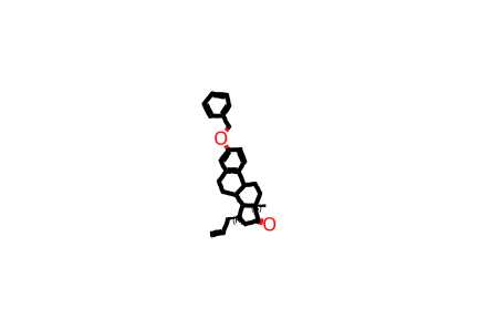 C=CC[C@@H]1CC(=O)[C@@]2(C)CCC3c4ccc(OCc5ccccc5)cc4CCC3C12